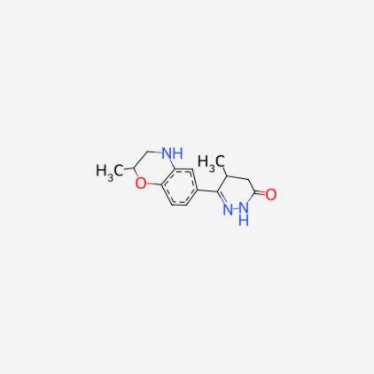 CC1CNc2cc(C3=NNC(=O)CC3C)ccc2O1